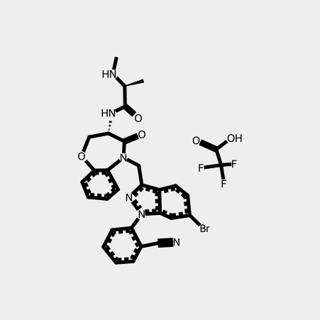 CN[C@@H](C)C(=O)N[C@H]1COc2ccccc2N(Cc2nn(-c3ccccc3C#N)c3cc(Br)ccc23)C1=O.O=C(O)C(F)(F)F